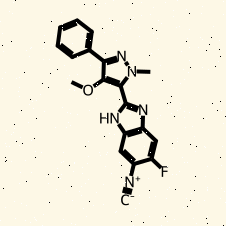 [C-]#[N+]c1cc2[nH]c(-c3c(OC)c(-c4ccccc4)nn3C)nc2cc1F